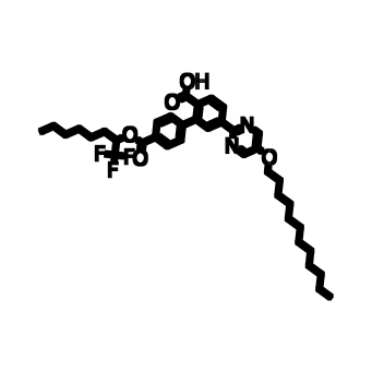 CCCCCCCCCCCCOc1cnc(-c2ccc(C(=O)O)c(-c3ccc(C(=O)OC(CCCCCC)C(F)(F)F)cc3)c2)nc1